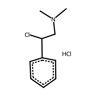 CN(C)CC(Cl)c1ccccc1.Cl